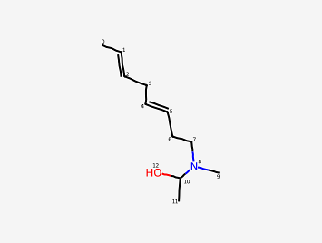 CC=CCC=CCCN(C)C(C)O